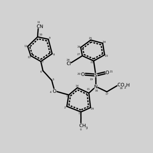 Cc1cc(OCCc2ccc(C#N)cc2)cc(N(CC(=O)O)S(=O)(=O)c2ccccc2Cl)c1